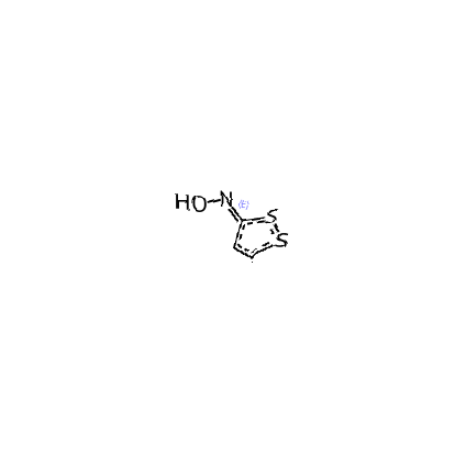 O/N=c1\c[c]ss1